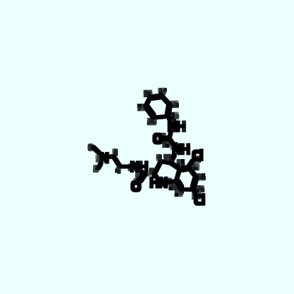 CN(C)CCNC(=O)[C@@H]1C[C@@H](NC(=O)Nc2ccccc2)c2c(Cl)cc(Cl)cc2N1